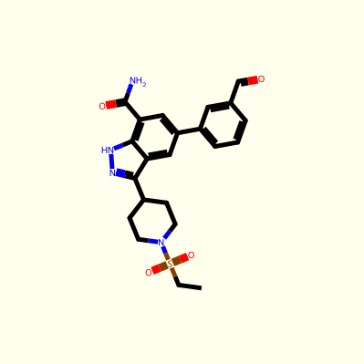 CCS(=O)(=O)N1CCC(c2n[nH]c3c(C(N)=O)cc(-c4cccc(C=O)c4)cc23)CC1